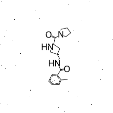 Cc1ccccc1C(=O)NCC1CNC(C(=O)N2CCCC2)C1